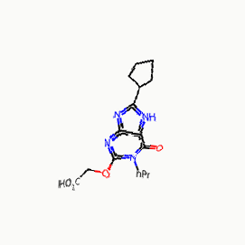 CCCn1c(OCC(=O)O)nc2nc(C3CCCC3)[nH]c2c1=O